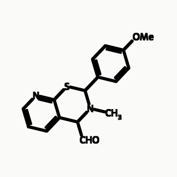 COc1ccc(C2Sc3ncccc3C(C=O)N2C)cc1